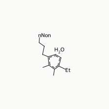 CCCCCCCCCCCCc1ccc(CC)c(C)c1C.O